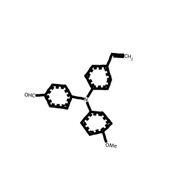 C=Cc1ccc(N(c2ccc(C=O)cc2)c2ccc(OC)cc2)cc1